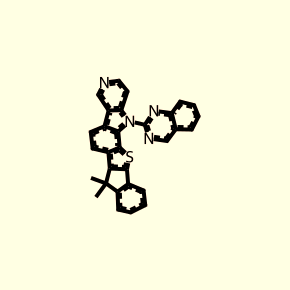 CC1(C)c2ccccc2-c2sc3c(ccc4c5cnccc5n(-c5ncc6ccccc6n5)c43)c21